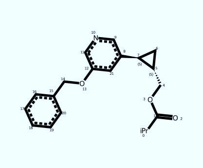 CC(C)C(=O)OC[C@H]1C[C@@H]1c1cncc(OCc2ccccc2)c1